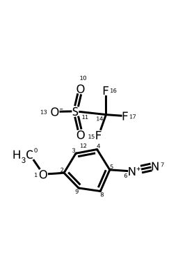 COc1ccc([N+]#N)cc1.O=S(=O)([O-])C(F)(F)F